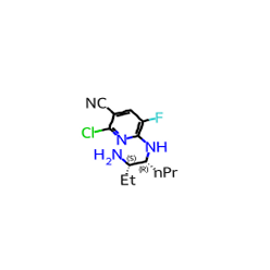 CCC[C@@H](Nc1nc(Cl)c(C#N)cc1F)[C@@H](N)CC